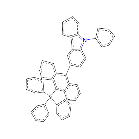 c1ccc(-n2c3ccccc3c3cc(-c4c5ccccc5c([Si](c5ccccc5)(c5ccccc5)c5ccccc5)c5ccccc45)ccc32)cc1